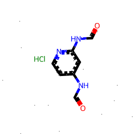 Cl.O=CNc1ccnc(NC=O)c1